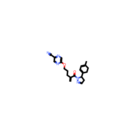 C=C(CCCOc1cnc(C#N)cn1)C(=O)N1N=CCC1C1=CC=C(C)CC1